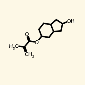 C=C(C)C(=O)OC1CCC2CC(O)CC2C1